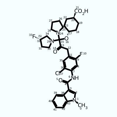 Cn1cc(C(=O)Nc2cc(F)c(CC(=O)C(O[C@H]3CC[C@H](C(=O)O)CC3)(N3CCCC3)N3CC[C@H](F)C3)cc2Cl)c2ccccc21